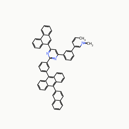 C=N/C=C(\C=C/C)c1cccc(-c2cc(-c3cc4ccccc4c4ccccc34)nc(-c3cccc(-c4c5ccccc5c(-c5ccc6ccccc6c5)c5ccccc45)c3)n2)c1